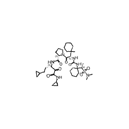 C[C@H](C1(NC(=O)N[C@H](C(=O)N2CCC[C@H]2C(=O)N[C@@H](CCC2CC2)C(=O)C(=O)NC2CC2)C2(C)CCCCC2)CCCCC1)S(=O)(=O)N(C)C